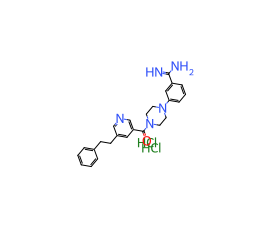 Cl.Cl.N=C(N)c1cccc(N2CCN(C(=O)c3cncc(CCc4ccccc4)c3)CC2)c1